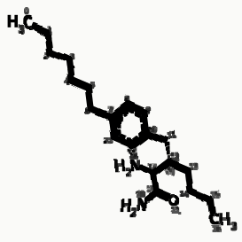 CCCCCCCc1ccc(C[C@H](CCCC)C(N)C(N)=O)cc1